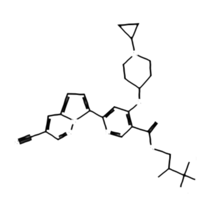 CC(C)(O)C(F)CNC(=O)c1cnc(-c2ccc3cc(C#N)cnn23)cc1NC1CCN(C2CC2)CC1